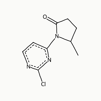 CC1CCC(=O)N1c1ccnc(Cl)n1